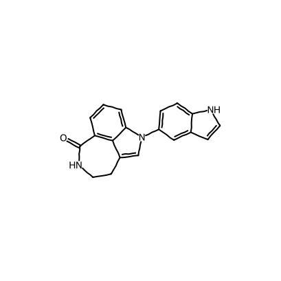 O=C1NCCc2cn(-c3ccc4[nH]ccc4c3)c3cccc1c23